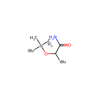 CC(C)(C)C(O[Si](C)(C)C(C)(C)C)C(N)=O